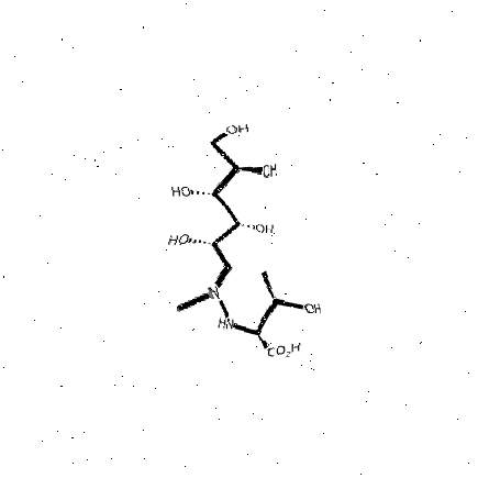 C[C@@H](O)[C@H](NN(C)C[C@H](O)[C@@H](O)[C@H](O)[C@H](O)CO)C(=O)O